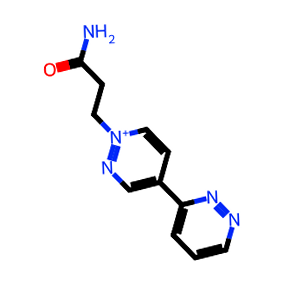 NC(=O)CC[n+]1ccc(-c2cccnn2)cn1